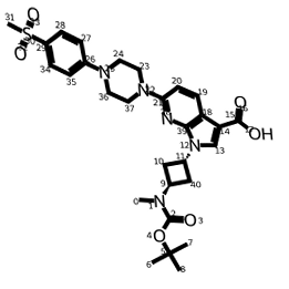 CN(C(=O)OC(C)(C)C)[C@H]1C[C@H](n2cc(C(=O)O)c3ccc(N4CCN(c5ccc(S(C)(=O)=O)cc5)CC4)nc32)C1